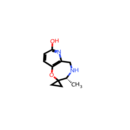 C[C@H]1NCc2nc(O)ccc2OC12CC2